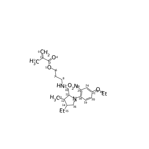 C=C(C)C(=O)OCCCNCC1C(C)C(CC)CN1c1ccc(OCC)cc1[N+](=O)[O-]